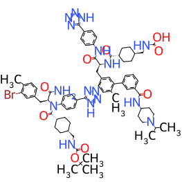 Cc1ccc(C[C@@H](C(N)=O)N(c2ccc(-c3nnn[nH]3)cc2)C(=O)[C@H]2CC[C@H](CNC(=O)OC(C)(C)C)CC2)cc1Br.Cc1ccc(C[C@H](NC(=O)[C@H]2CC[C@H](CNC(=O)O)CC2)C(=O)Nc2ccc(-c3nnn[nH]3)cc2)cc1-c1cccc(C(=O)NC2CCN(C(C)C)CC2)c1